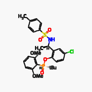 COc1cccc(OC)c1[P@](=O)(Oc1ccc(Cl)cc1[C@@H](C)NS(=O)(=O)c1ccc(C)cc1)C(C)(C)C